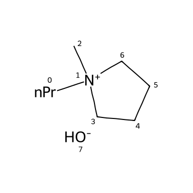 CCC[N+]1(C)CCCC1.[OH-]